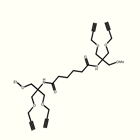 C#CCOCC(COC)(COCC#C)NC(=O)CCCCC(=O)NC(COCC)(COCC#C)COCC#C